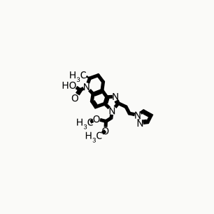 COC(Cn1c(CCn2cccn2)nc2c3c(ccc21)N(C(=O)O)[C@@H](C)CC3)OC